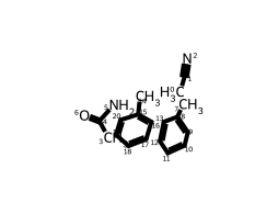 CC#N.CC(N)=O.Cc1ccccc1.Cc1ccccc1